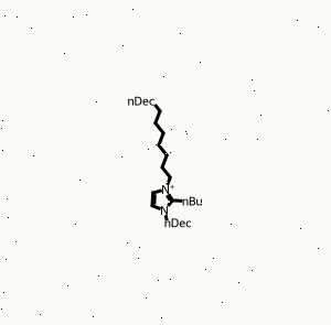 CCCCCCCCCCCCCCCCC[n+]1ccn(CCCCCCCCCC)c1CCCC